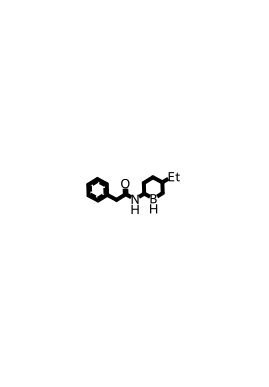 CCC1CBC(NC(=O)Cc2ccccc2)CC1